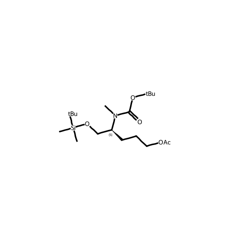 CC(=O)OCCC[C@@H](CO[Si](C)(C)C(C)(C)C)N(C)C(=O)OC(C)(C)C